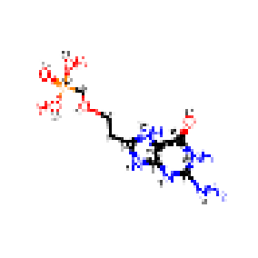 Nc1nc2nc(CCOCP(=O)(O)O)[nH]c2c(=O)[nH]1